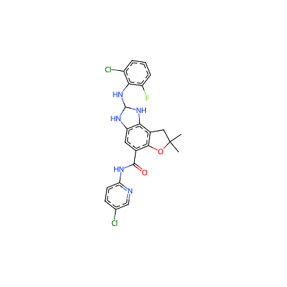 CC1(C)Cc2c3c(cc(C(=O)Nc4ccc(Cl)cn4)c2O1)NC(Nc1c(F)cccc1Cl)N3